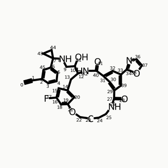 C#Cc1cccc(C2(NCC(O)C3Cc4cc(F)cc(c4)OCCCCNC(=O)c4cc(cc(-c5ncco5)c4)C(=O)N3)CC2)c1